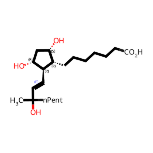 CCCCCC(C)(O)/C=C/[C@@H]1[C@@H](CCCCCCC(=O)O)[C@@H](O)C[C@H]1O